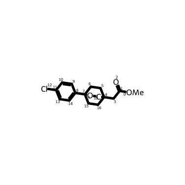 COC(=O)CC12CCC(c3ccc(Cl)cc3)(CC1)OC2